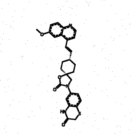 COc1ccc2nccc(/C=C/[C@H]3CC[C@]4(CC3)CN(c3ccc5c(c3)NC(=O)CS5)C(=O)O4)c2c1